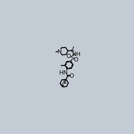 Cc1cc(S(=O)(=O)N[C@H](C)C2CCN(C)CC2)ccc1NC(=O)C12CCC(CC1)CC2